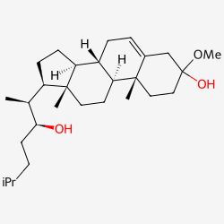 COC1(O)CC[C@@]2(C)C(=CC[C@H]3[C@@H]4CC[C@H]([C@H](C)[C@@H](O)CCC(C)C)[C@@]4(C)CC[C@@H]32)C1